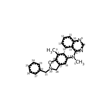 Cc1cc(N(C)c2ncnc3ccccc23)cc2c1ON(Cc1ccccc1)C2